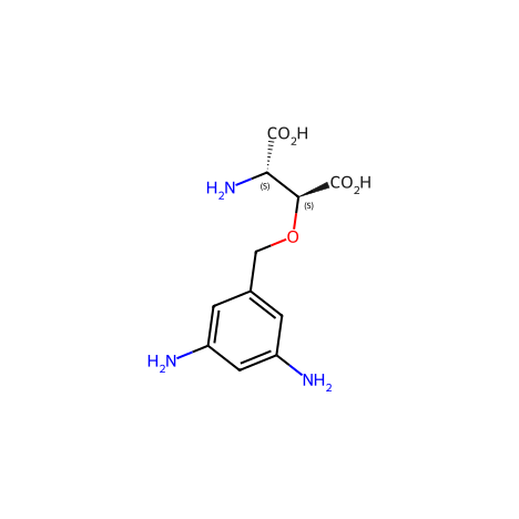 Nc1cc(N)cc(CO[C@H](C(=O)O)[C@H](N)C(=O)O)c1